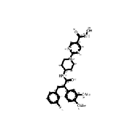 COc1ccc(/C(=C\c2cccc(F)c2)C(=O)NC2CCN(c3ncc(C(=O)NO)cn3)CC2)cc1OC